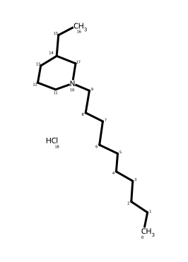 CCCCCCCCCCN1CCCC(CC)C1.Cl